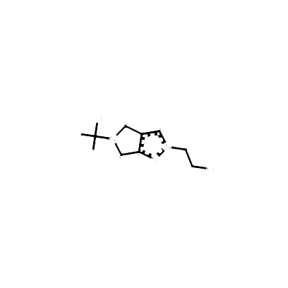 CCCn1cc2c(n1)CN(C(C)(C)C)C2